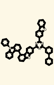 c1ccc(-c2cccc(-c3nc(-c4ccc5c(c4)oc4ccccc45)nc(-c4ccc5c(c4)oc4cccc(-c6cccc7c6c6ccccc6n7-c6ccccc6)c45)n3)c2)cc1